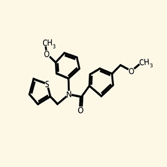 COCc1ccc(C(=O)N(Cc2cccs2)c2cccc(OC)c2)cc1